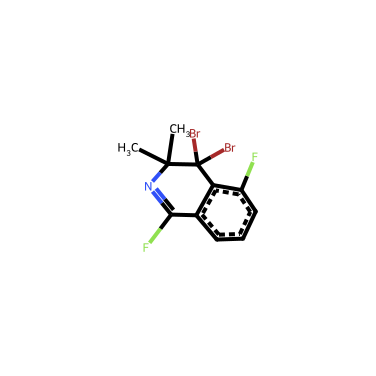 CC1(C)N=C(F)c2cccc(F)c2C1(Br)Br